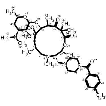 CO[C@]1(C)C[C@@H](C)CN(C)[C@@H](CN2CCN(C(=O)c3ccc(C)cc3)CC2)[C@H](C)OC(=O)C(C)(C)C(=O)[C@H](C)[C@H]1O[C@@H]1O[C@H](C)C[C@H](N(C)C)[C@H]1O